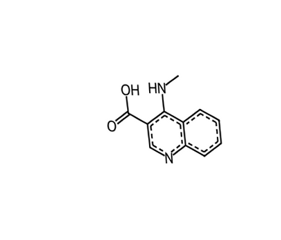 CNc1c(C(=O)O)cnc2ccccc12